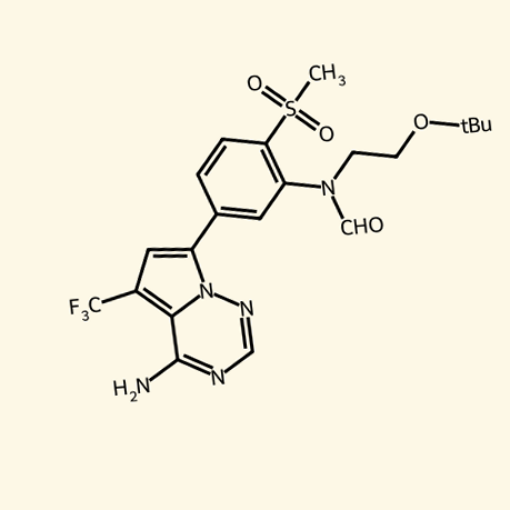 CC(C)(C)OCCN(C=O)c1cc(-c2cc(C(F)(F)F)c3c(N)ncnn23)ccc1S(C)(=O)=O